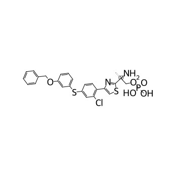 C[C@](N)(COP(=O)(O)O)c1nc(-c2ccc(Sc3cccc(OCc4ccccc4)c3)cc2Cl)cs1